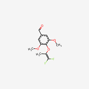 COc1cc(C=O)cc(OC)c1OC(C)=C(F)F